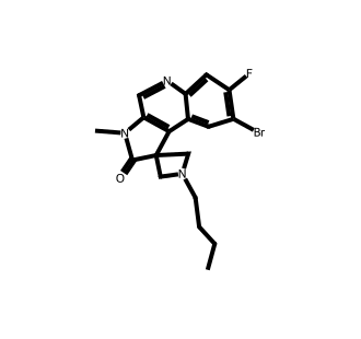 CCCCN1CC2(C1)C(=O)N(C)c1cnc3cc(F)c(Br)cc3c12